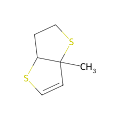 CC12C=CSC1CCS2